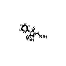 O=C1CN(CCO)C(=S)N1c1ccccn1.[NaH]